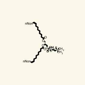 CCCCCCCCC/C=C\CCCCCCCC(=O)OC[C@H](COP(=O)(O)OCC[N+](C)(C)C)OC(=O)CCCCCCC/C=C\CCCCCCCCC